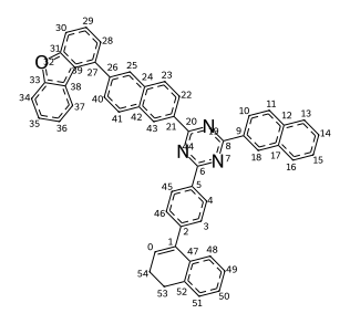 C1=C(c2ccc(-c3nc(-c4ccc5ccccc5c4)nc(-c4ccc5cc(-c6cccc7oc8ccccc8c67)ccc5c4)n3)cc2)c2ccccc2CC1